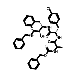 CC(NC(=O)OCc1ccccc1)C(=O)N[C@@H](Cc1ccc(Cl)cc1)C(=O)N[C@@H](Cc1ccccc1)[C@H](O)C(=O)NCc1ccccc1